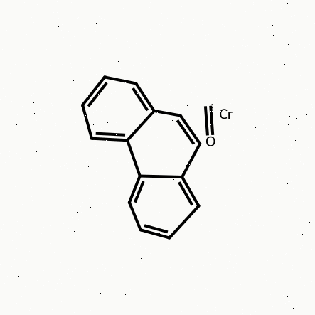 [C]=O.[Cr].c1ccc2c(c1)ccc1ccccc12